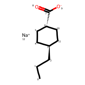 CCC[C@H]1CC[C@H](C(=O)[O-])CC1.[Na+]